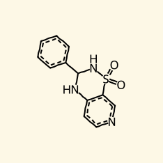 O=S1(=O)NC(c2ccccc2)Nc2ccncc21